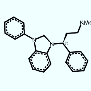 CNCC[C@@H](c1ccccc1)N1[CH]N(c2ccccc2)c2ccccc21